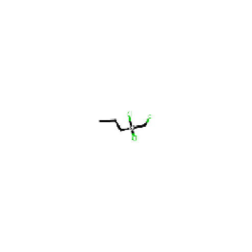 CCC[Si](Cl)(Cl)CCl